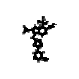 [C-]#[N+]c1ccc2c(cc(C3CC3)n2Cc2nnc(-c3cncc(Br)c3)o2)c1C(F)(F)F